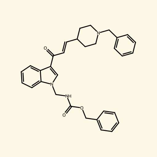 O=C(NCn1cc(C(=O)/C=C/C2CCN(Cc3ccccc3)CC2)c2ccccc21)OCc1ccccc1